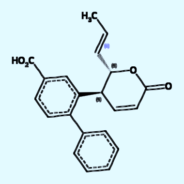 C/C=C/[C@@H]1OC(=O)C=C[C@H]1c1cc(C(=O)O)ccc1-c1ccccc1